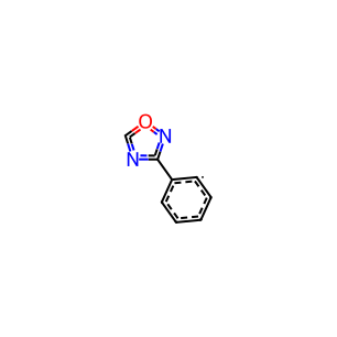 [c]1ccccc1-c1ncon1